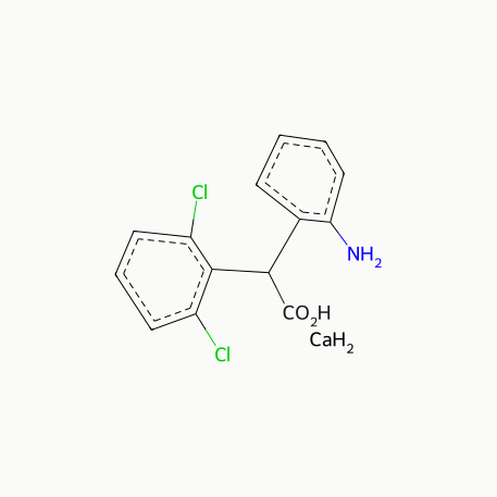 Nc1ccccc1C(C(=O)O)c1c(Cl)cccc1Cl.[CaH2]